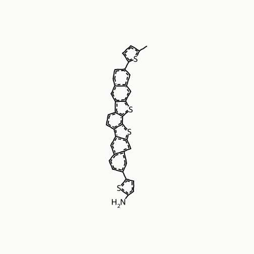 Cc1ccc(-c2ccc3cc4c(cc3c2)sc2c4ccc3c4cc5ccc(-c6ccc(N)s6)cc5cc4sc32)s1